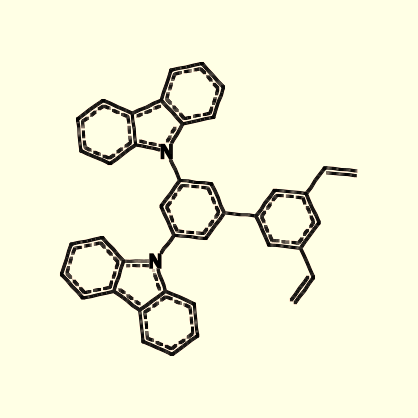 C=Cc1cc(C=C)cc(-c2cc(-n3c4ccccc4c4ccccc43)cc(-n3c4ccccc4c4ccccc43)c2)c1